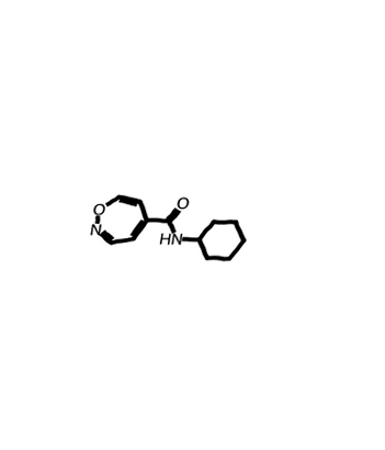 O=C(NC1CCCCC1)C1=CC=NOC=C1